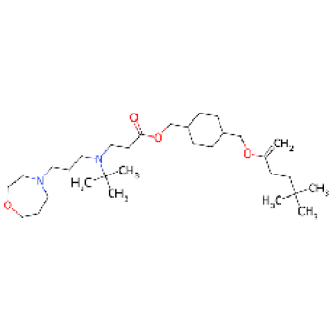 C=C(CCC(C)(C)C)OCC1CCC(COC(=O)CCN(CCCN2CCCOCC2)C(C)(C)C)CC1